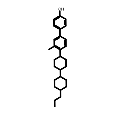 CCCC1CCC(C2CCC(c3ccc(-c4ccc(O)cc4)cc3C)CC2)CC1